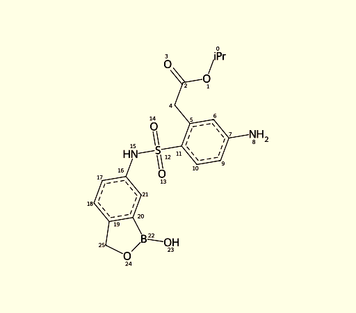 CC(C)OC(=O)Cc1cc(N)ccc1S(=O)(=O)Nc1ccc2c(c1)B(O)OC2